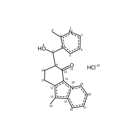 Cc1ncccc1C(O)C1CCc2c(C)c3ccccn3c2C1=O.Cl